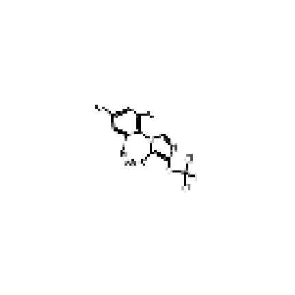 CSc1c(SC(F)(Cl)Cl)ncn1-c1c(Cl)cc(Cl)cc1Br